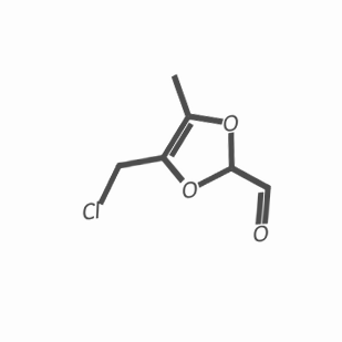 CC1=C(CCl)OC(C=O)O1